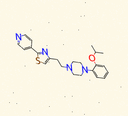 CC(C)Oc1ccccc1N1CCN(CCc2csc(-c3ccncc3)n2)CC1